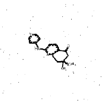 CC1(C)CC(=O)c2ccc(Nc3ccncc3)nc2C1